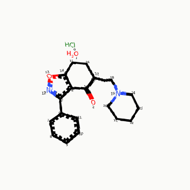 Cl.O.O=C1c2c(-c3ccccc3)noc2CCC1CN1CCCCC1